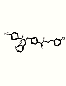 N#Cc1ccc(S(=O)(=O)N(Cc2ccc(C(=O)NCCc3cccc(Cl)c3)cc2)Cc2cccnc2)cc1